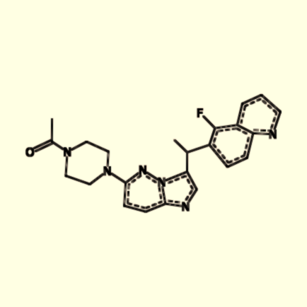 CC(=O)N1CCN(c2ccc3ncc(C(C)c4ccc5ncccc5c4F)n3n2)CC1